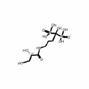 O=C(NCCCC(O)(P(=O)(O)O)P(=O)(O)O)[C@@H](O)CO